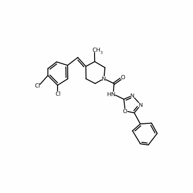 CC1CN(C(=O)Nc2nnc(-c3ccccc3)o2)CCC1=Cc1ccc(Cl)c(Cl)c1